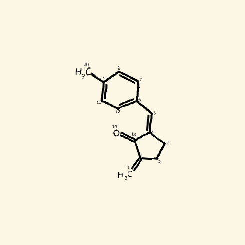 C=C1CCC(=Cc2ccc(C)cc2)C1=O